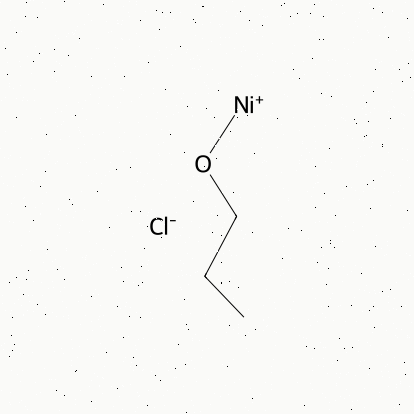 CCC[O][Ni+].[Cl-]